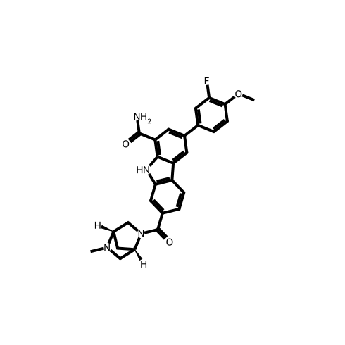 COc1ccc(-c2cc(C(N)=O)c3[nH]c4cc(C(=O)N5C[C@@H]6C[C@H]5CN6C)ccc4c3c2)cc1F